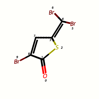 O=C1SC(=C(Br)Br)C=C1Br